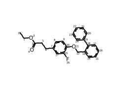 CCOC(=O)CCc1ccc(OCc2ccccc2-c2ccccc2)c(F)c1